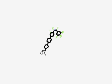 CCCC1CCC(c2ccc(-c3ccc(/C(F)=C(/F)c4cc(F)c(F)c(F)c4)c(F)c3)cc2)CC1